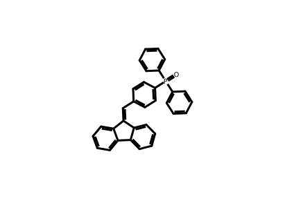 O=P(c1ccccc1)(c1ccccc1)c1ccc(C=C2c3ccccc3-c3ccccc32)cc1